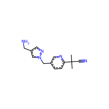 CC(C)(C#N)c1ccc(Cn2cc(CN)cn2)cn1